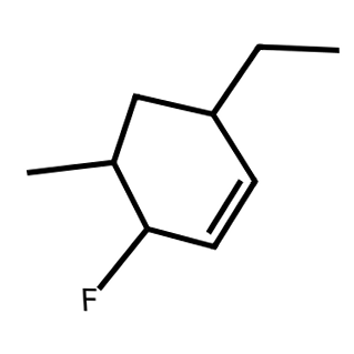 CCC1C=CC(F)C(C)C1